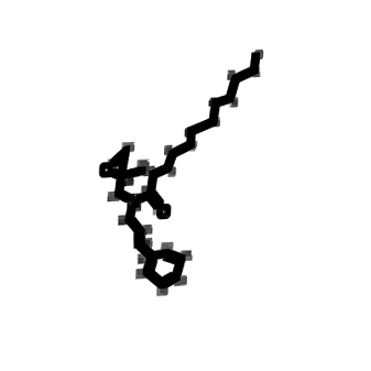 CCCCCCCCCCCC(=O)N(CC=Cc1ccccc1)CC1(C)CO1